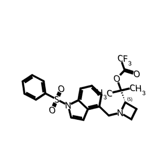 CC(C)(OC(=O)C(F)(F)F)[C@@H]1CCN1Cc1cccc2c1ccn2S(=O)(=O)c1ccccc1